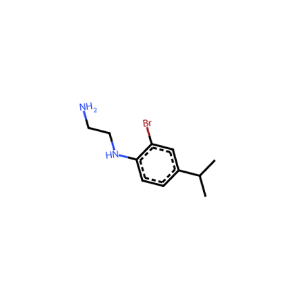 CC(C)c1ccc(NCCN)c(Br)c1